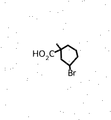 CC1(C(=O)O)CCCC(Br)C1